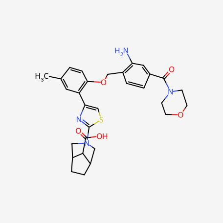 Cc1ccc(OCc2ccc(C(=O)N3CCOCC3)cc2N)c(-c2csc(N3CC4CCC(C3)C4C(=O)O)n2)c1